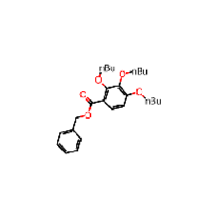 CCCCOc1ccc(C(=O)OCc2ccccc2)c(OCCCC)c1OCCCC